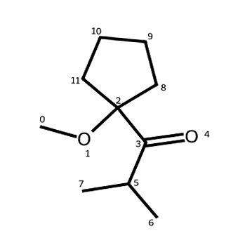 COC1(C(=O)C(C)C)CCCC1